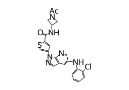 CC(=O)N1CC(NC(=O)c2cc(-n3ncc4cc(Nc5ccccc5Cl)cnc43)cs2)C1